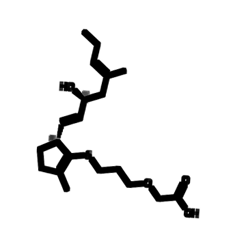 CCC=C(C)C[C@H](O)C=C[C@H]1CCC(C)=C1SCCCOCC(=O)O